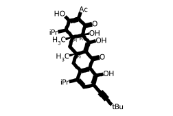 CC(=O)C1=C(O)C(C(C)C)[C@@]2(C)C[C@@]3(C)Cc4c(C(C)C)cc(C#CC(C)(C)C)c(O)c4C(=O)C3=C(O)[C@@]2(O)C1=O